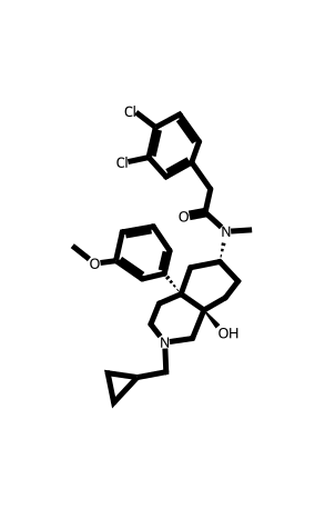 COc1cccc([C@@]23CCN(CC4CC4)C[C@@]2(O)CC[C@@H](N(C)C(=O)Cc2ccc(Cl)c(Cl)c2)C3)c1